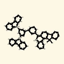 CC1(C)c2ccccc2-c2ccc3c(-c4cccc(-c5cc(-n6c7ccccc7c7ccccc76)cc(-n6c7ccccc7c7ccccc76)c5)c4)nc4ccccc4c3c21